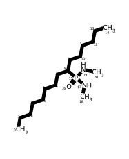 CCCCCCCCC(CCCCCC)P(=O)(NC)NC